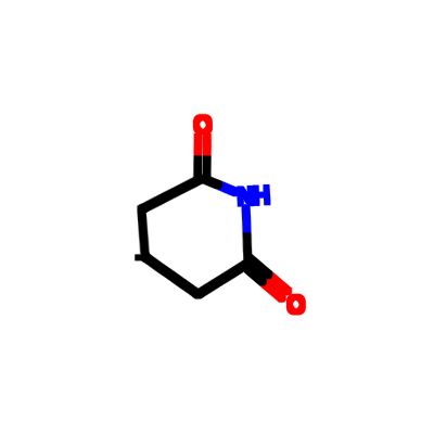 O=C1C[CH]CC(=O)N1